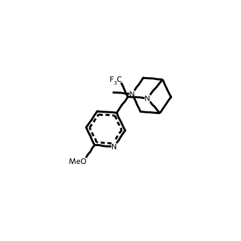 COc1ccc(C(N2C3CC2CN(C)C3)C(F)(F)F)cn1